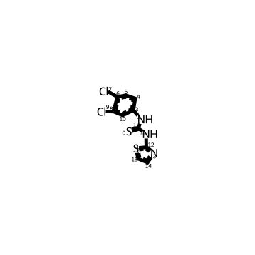 S=C(Nc1ccc(Cl)c(Cl)c1)Nc1nccs1